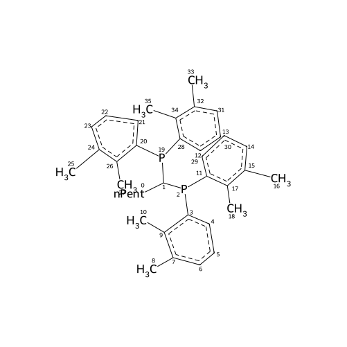 CCCCCC(P(c1cccc(C)c1C)c1cccc(C)c1C)P(c1cccc(C)c1C)c1cccc(C)c1C